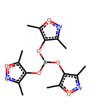 Cc1noc(C)c1OB(Oc1c(C)noc1C)Oc1c(C)noc1C